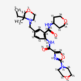 CCC1(C)COCCN1Cc1ccc(NC(=O)c2coc(N3CCOCC3)n2)c(C(=O)NC2CCOCC2)c1